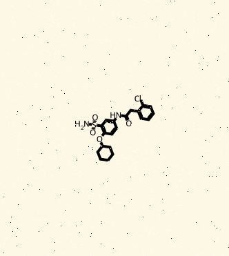 NS(=O)(=O)c1cc(NC(=O)Cc2ccccc2Cl)ccc1OC1CCCCC1